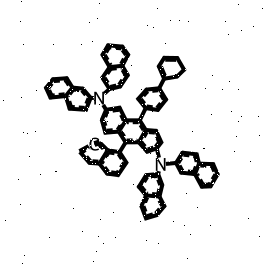 C1=CCCC(c2ccc(-c3c4cc(N(c5ccc6ccccc6c5)c5ccc6ccccc6c5)ccc4c(-c4cccc5ccccc45)c4cc(N(c5ccc6ccccc6c5)c5ccc6ccccc6c5)ccc34)cc2)=C1